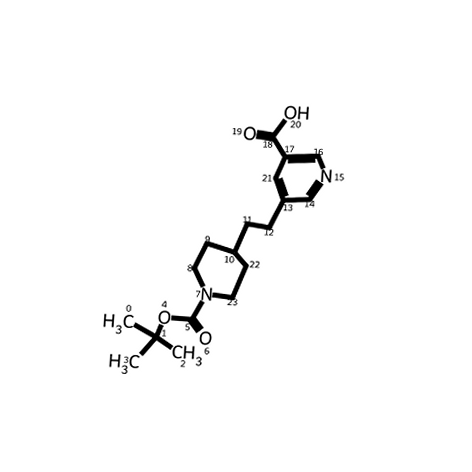 CC(C)(C)OC(=O)N1CCC(CCc2cncc(C(=O)O)c2)CC1